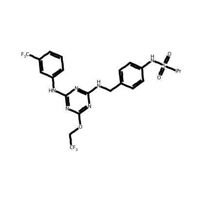 CC(C)S(=O)(=O)Nc1ccc(CNc2nc(Nc3cccc(C(F)(F)F)c3)nc(OCC(F)(F)F)n2)cc1